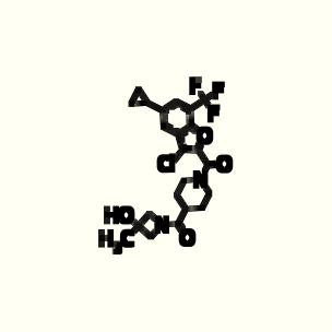 CC1(O)CN(C(=O)C2CCN(C(=O)c3oc4c(C(F)(F)F)cc(C5CC5)cc4c3Cl)CC2)C1